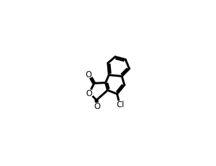 O=C1OC(=O)c2c1c(Cl)cc1ccccc21